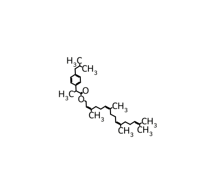 CC(C)=CCCC(C)=CCCC(C)=CCCC(C)=CCOC(=O)C(C)c1ccc(CC(C)C)cc1